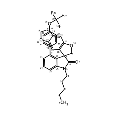 CCCCCN1C(=O)C2(COc3cc4c(cc32)OCO4)c2c(-c3ccc(OC(F)(F)F)cc3)cccc21